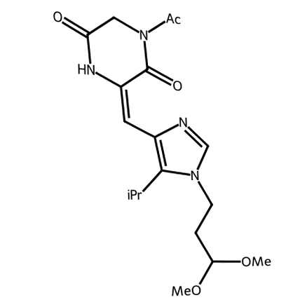 COC(CCn1cnc(C=C2NC(=O)CN(C(C)=O)C2=O)c1C(C)C)OC